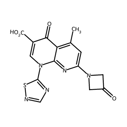 Cc1cc(N2CC(=O)C2)nc2c1c(=O)c(C(=O)O)cn2-c1ncns1